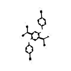 N#CC(C#N)=c1cc(Oc2ccc(C#N)cc2)c(=C(C#N)C#N)cc1Oc1ccc(C#N)cc1